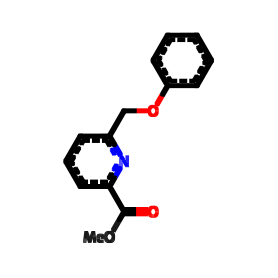 COC(=O)c1cccc(COc2ccccc2)n1